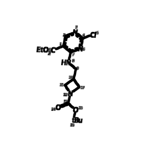 CCOC(=O)c1cnc(Cl)nc1NCC1CN(C(=O)OC(C)(C)C)C1